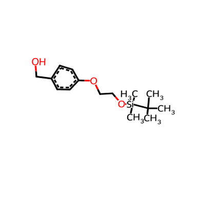 CC(C)(C)[Si](C)(C)OCCOc1ccc(CO)cc1